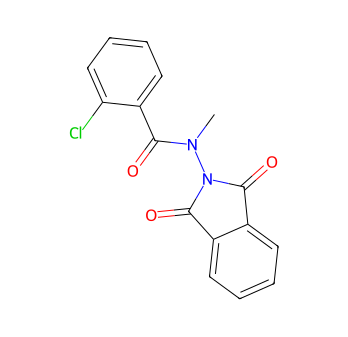 CN(C(=O)c1ccccc1Cl)N1C(=O)c2ccccc2C1=O